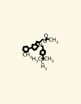 CC(=O)OCc1cc2cc(-c3cccc(C)c3)ccc2n1Cc1ccc(C(C)(C)C)cc1